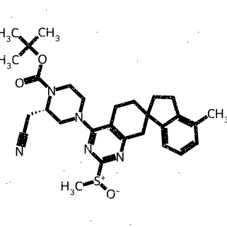 Cc1cccc2c1CCC21CCc2c(nc([S+](C)[O-])nc2N2CCN(C(=O)OC(C)(C)C)[C@@H](CC#N)C2)C1